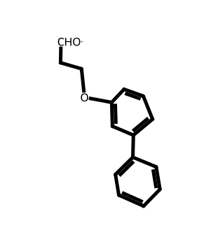 O=[C]CCOc1cccc(-c2ccccc2)c1